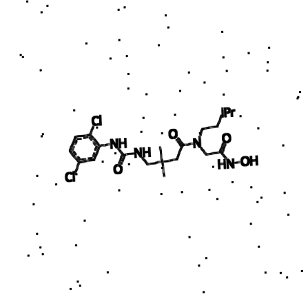 CC(C)CCN(CC(=O)NO)C(=O)CC(C)(C)CNC(=O)Nc1cc(Cl)ccc1Cl